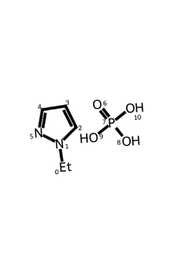 CCn1cccn1.O=P(O)(O)O